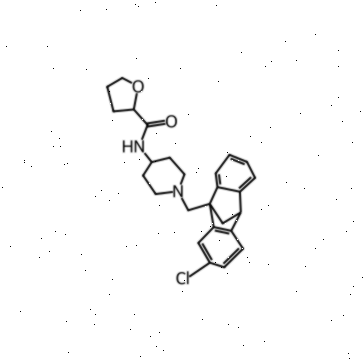 O=C(NC1CCN(CC23CC(c4ccccc42)c2ccc(Cl)cc23)CC1)C1CCCO1